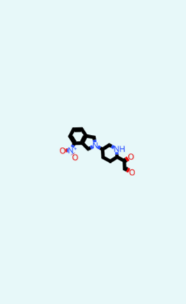 O=CC(=O)C1CCC(N2Cc3cccc([N+](=O)[O-])c3C2)CN1